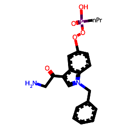 CCCP(=O)(O)OOc1ccc2c(c1)c(C(=O)CN)cn2Cc1ccccc1